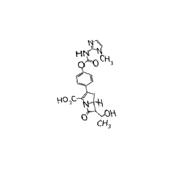 C[C@@H](O)[C@H]1C(=O)N2C(C(=O)O)=C(c3ccc(OC(=O)Nc4nccn4C)cc3)C[C@H]12